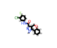 Cn1nc(C(=O)Nc2ccc(F)c(Cl)c2)c2c1-c1ccccc1OC2